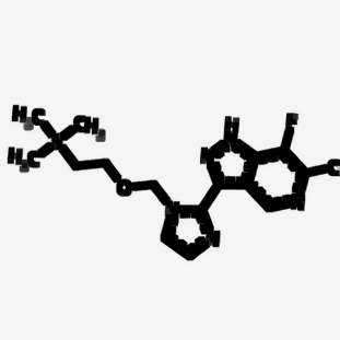 CS(C)(C)CCOCn1ccnc1-c1n[nH]c2c(F)c(Cl)ncc12